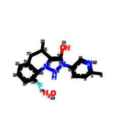 Cc1ccc(N2NN3C(=C2O)C(C)Cc2cccc(F)c23)cn1.O